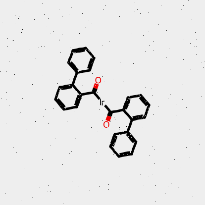 O=[C]([Ir][C](=O)c1ccccc1-c1ccccc1)c1ccccc1-c1ccccc1